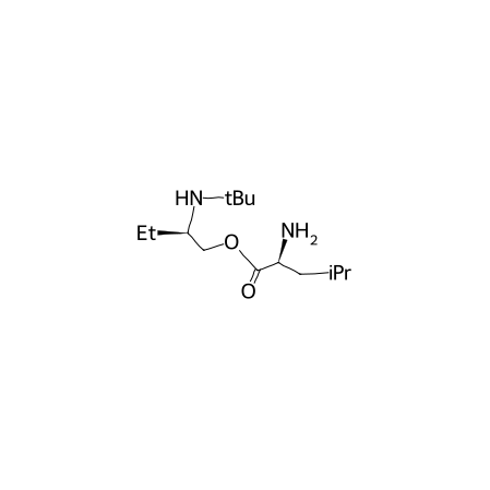 CC[C@H](COC(=O)[C@@H](N)CC(C)C)NC(C)(C)C